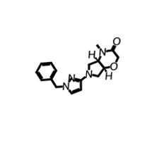 CN1C(=O)CO[C@@H]2CN(c3ccn(Cc4ccccc4)n3)C[C@@H]21